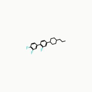 CCCC1CCC(c2ccc(-c3ccc(F)c(F)c3)c(F)c2)CC1